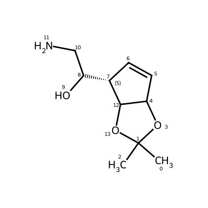 CC1(C)OC2C=C[C@@H](C(O)CN)C2O1